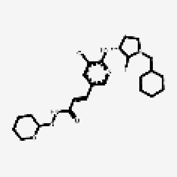 O=C(C=Cc1cnc(N[C@@H]2CCN(CC3CCCCC3)C2I)c(Cl)c1)NOC1CCCCO1